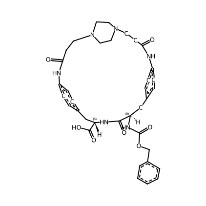 O=C1CCN2CCN(CCC(=O)Nc3ccc(cc3)C[C@@H](NC(=O)OCc3ccccc3)C(=O)N[C@H](C(=O)O)Cc3ccc(cc3)N1)CC2